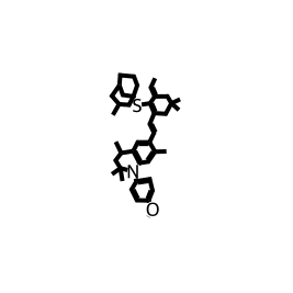 C/C=C1\CC(C)(C)CC(/C=C/c2cc3c(cc2C)N(c2ccc(OC)cc2)C(C)(C)CC3C)=C1SC12CCCC(CC(C)C1)C2